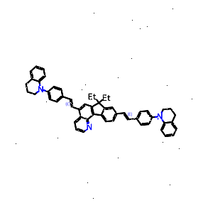 CCC1(CC)c2cc(/C=C/c3ccc(N4CCCc5ccccc54)cc3)ccc2-c2c1cc(/C=C/c1ccc(N3CCCc4ccccc43)cc1)c1cccnc21